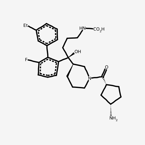 CCc1cccc(-c2c(F)cccc2[C@](O)(CCCNC(=O)O)[C@@H]2CCCN(C(=O)[C@@H]3CC[C@H](N)C3)C2)c1